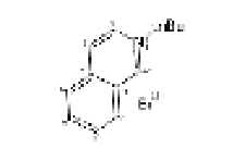 CCCC[n+]1ccc2ccccc2c1.[Br-]